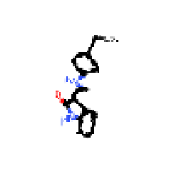 N#CCc1ccc(NC=C2C(=O)Nc3ccccc32)cc1